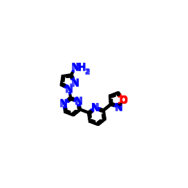 Nc1ccn(-c2nccc(-c3cccc(-c4ccon4)n3)n2)n1